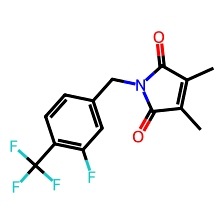 CC1=C(C)C(=O)N(Cc2ccc(C(F)(F)F)c(F)c2)C1=O